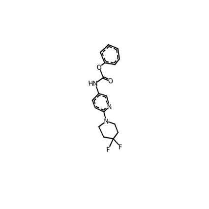 O=C(Nc1ccc(N2CCC(F)(F)CC2)nc1)Oc1ccccc1